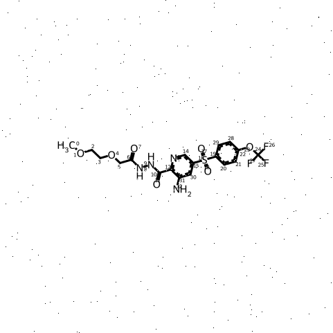 COCCOCC(=O)NNC(=O)c1ncc(S(=O)(=O)c2ccc(OC(F)(F)F)cc2)cc1N